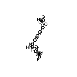 O=C1CCC(N2Cc3cc(C4CCN(C5CCN(c6ccc(-c7cnc8[nH]cc(C(=O)c9c(F)ccc(NS(=O)(=O)N%10CC[C@@H](F)C%10)c9F)c8c7)cc6)CC5)CC4)ccc3C2=O)C(=O)N1